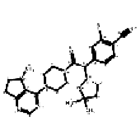 C[C@@H]1CCc2ncnc(N3CCN(C(=O)[C@@H](c4ccc(C#N)c(F)c4)[C@@H]4CCC(C)(C)N4)CC3)c21